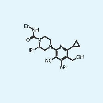 CCCc1c(C#N)c(N2CCN(C(=O)NCC)[C@H](C(C)C)C2)nc(C2CC2)c1CO